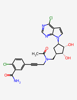 CC(=O)N(CC#Cc1ccc(Cl)c(C(N)=O)c1)C[C@H]1C[C@@H](n2ccc3c(Cl)ncnc32)[C@H](O)[C@@H]1O